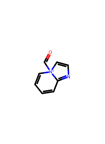 O=C[N+]12C=CC=CC1=NC=C2